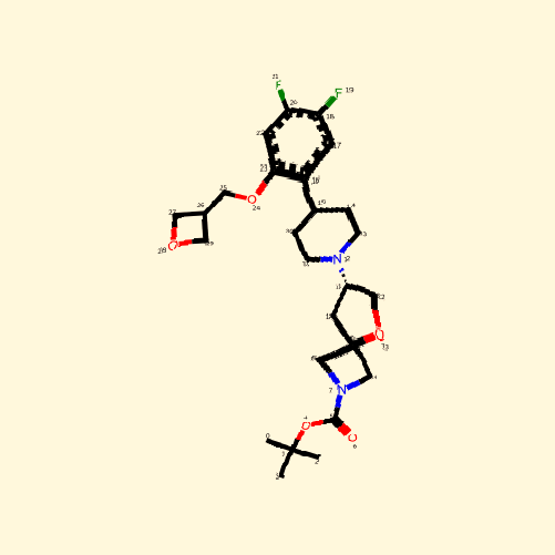 CC(C)(C)OC(=O)N1CC2(C[C@H](N3CCC(c4cc(F)c(F)cc4OCC4COC4)CC3)CO2)C1